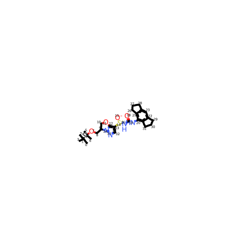 CC(C)(C)[Si](C)(C)OCC1COc2c([S+]([O-])NC(=O)Nc3c4c(cc5c3CCC5)CCC4)cnn21